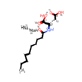 CCCCCCCCCC(=O)N[C@@H](CC(=O)O)C(=O)O.[NaH].[NaH]